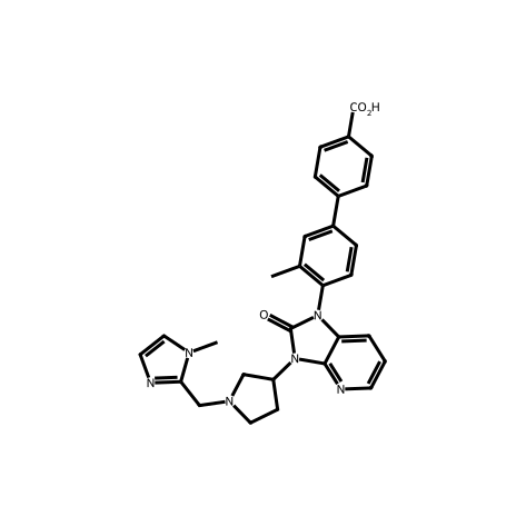 Cc1cc(-c2ccc(C(=O)O)cc2)ccc1-n1c(=O)n(C2CCN(Cc3nccn3C)C2)c2ncccc21